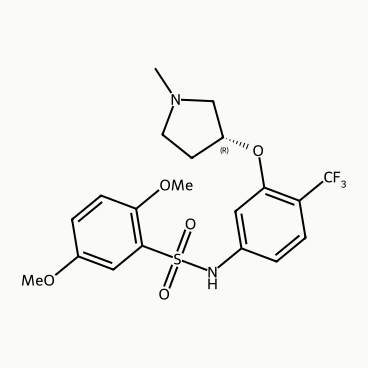 COc1ccc(OC)c(S(=O)(=O)Nc2ccc(C(F)(F)F)c(O[C@@H]3CCN(C)C3)c2)c1